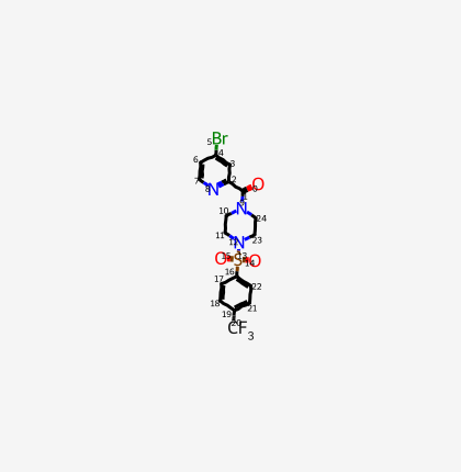 O=C(c1cc(Br)ccn1)N1CCN(S(=O)(=O)c2ccc(C(F)(F)F)cc2)CC1